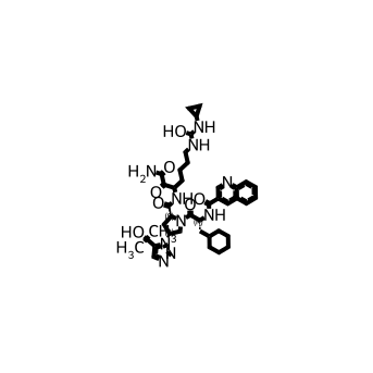 CC(C)(O)c1cnnn1[C@H]1C[C@@H](C(=O)NC(CCCCNC(O)NC2CC2)C(=O)C(N)=O)N(C(=O)[C@@H](CC2CCCCC2)NC(=O)c2cnc3ccccc3c2)C1